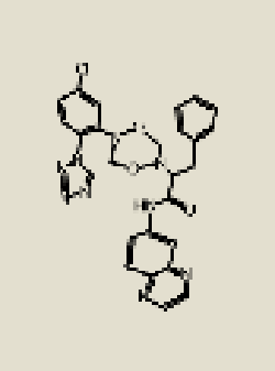 O=C(Nc1ccc2nccnc2c1)C(Cc1ccccc1)N1CON(c2cc(Cl)ccc2-n2cnnn2)CO1